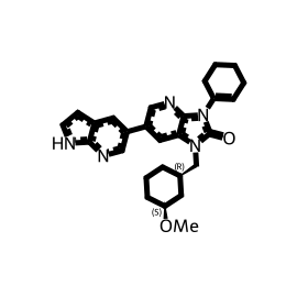 CO[C@H]1CCC[C@@H](Cn2c(=O)n(C3=CCCCC3)c3ncc(-c4cnc5[nH]ccc5c4)cc32)C1